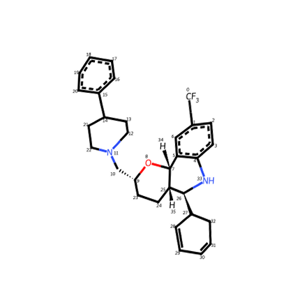 FC(F)(F)c1ccc2c(c1)[C@H]1O[C@@H](CN3CCC(c4ccccc4)CC3)CC[C@H]1[C@H](C1C=CC=CC1)N2